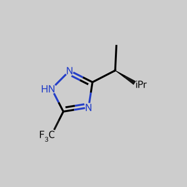 CC(C)[C@H](C)c1n[nH]c(C(F)(F)F)n1